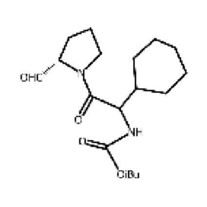 CC(C)COC(=O)NC(C(=O)N1CCC[C@H]1C=O)C1CCCCC1